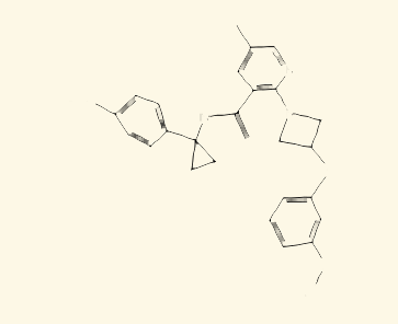 Cc1cnc(N2CC(Oc3cccc(OC(F)(F)F)c3)C2)c(C(=O)NC2(c3ccc(C(=O)O)cc3)CC2)c1